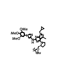 COc1cc(-n2cnc(Nc3nc(N4CCC[C@H]4CO[Si](C)(C)C(C)(C)C)c4c(C)nn(CC5CC5)c4n3)c2)cc(OC)c1OC